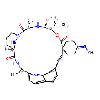 CN=C1CCC2(/C=C/c3ccc4ccc(nc4c3)[C@@H](C)NC(=O)[C@@H]3CCCN(N3)C(=O)[C@H](C)NC(=O)[C@H](C(C)C)OC2=O)CC1